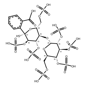 O=C(O)c1ccccc1[C@@]1(S)O[C@H](COS(=O)(=O)O)[C@@H](O[C@H]2O[C@H](COS(=O)(=O)O)[C@@H](OS(=O)(=O)O)[C@H](OS(=O)(=O)O)[C@H]2OS(=O)(=O)O)[C@H](OS(=O)(=O)O)[C@H]1OS(=O)(=O)O